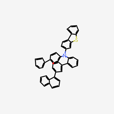 c1ccc(-c2ccc(N(c3ccc4c(c3)sc3ccccc34)c3ccccc3-c3cccc(-c4cccc5ccccc45)c3)cc2)cc1